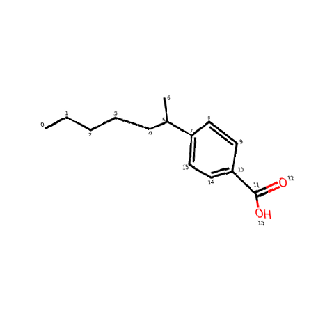 CCCCCC(C)c1ccc(C(=O)O)cc1